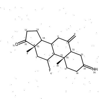 C=C1CC2C(C(F)C[C@]3(C)C(=O)CCC23)[C@@]2(C)CCC(=N)CC12